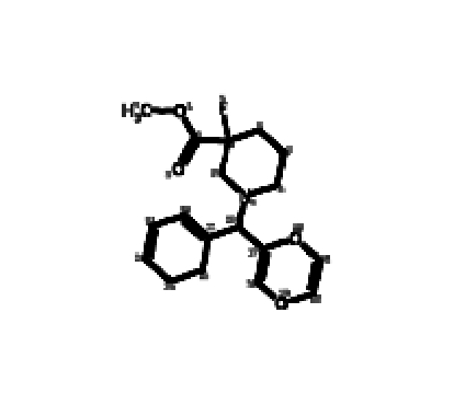 COC(=O)C1(F)CCCN(C(C2=CC=CCC2)C2=COC=CO2)C1